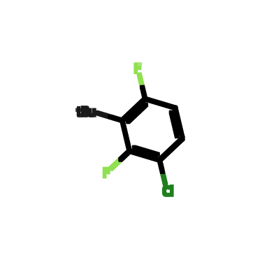 CC(C)(C)c1c(F)ccc(Cl)c1F